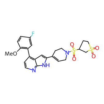 COc1ccc(F)cc1-c1ccnc2[nH]c(C3=CCN(S(=O)(=O)C4CCS(=O)(=O)C4)CC3)cc12